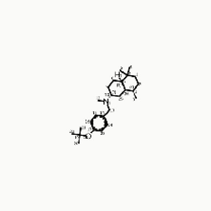 C[C@@H]1CCC(C)(C)[C@H]2CC[C@@H](N(C)Cc3ccc(OC(C)(C)C)cc3)CC12